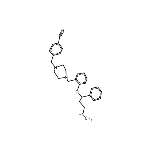 CNCCC(Oc1ccccc1CN1CCN(Cc2ccc(C#N)cc2)CC1)c1ccccc1